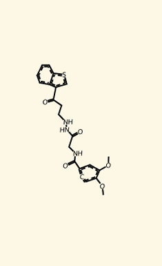 COc1ccc(C(=O)NCC(=O)NNCCC(=O)c2csc3ccccc23)cc1OC